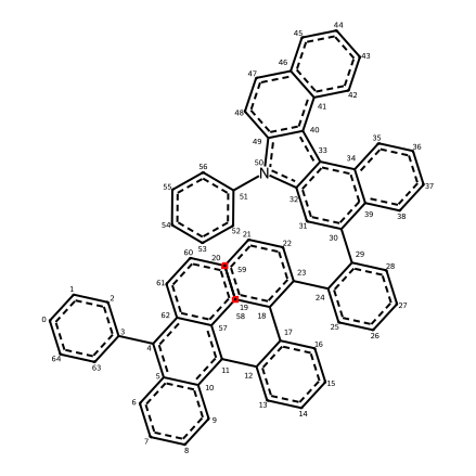 c1ccc(-c2c3ccccc3c(-c3ccccc3-c3ccccc3-c3ccccc3-c3cc4c(c5ccccc35)c3c5ccccc5ccc3n4-c3ccccc3)c3ccccc23)cc1